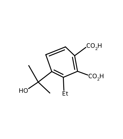 CCc1c(C(C)(C)O)ccc(C(=O)O)c1C(=O)O